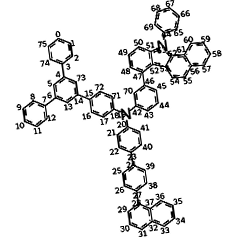 c1ccc(-c2cc(-c3ccccc3)cc(-c3ccc(N(c4ccc(-c5ccc(-c6cccc7ccccc67)cc5)cc4)c4cccc(-c5cccc6c5c5ccc7ccccc7c5n6-c5ccccc5)c4)cc3)c2)cc1